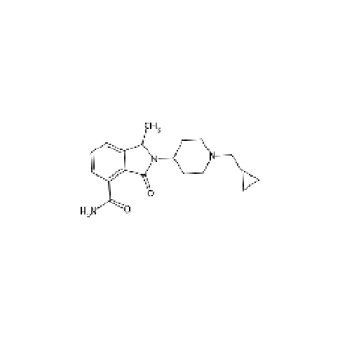 CC1c2cccc(C(N)=O)c2C(=O)N1C1CCN(CC2CC2)CC1